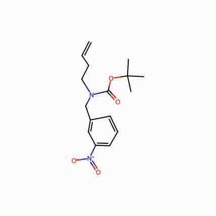 C=CCCN(Cc1cccc([N+](=O)[O-])c1)C(=O)OC(C)(C)C